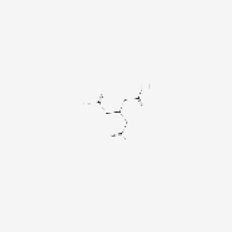 NC(=O)CC(CC(=O)O)CC(=O)O